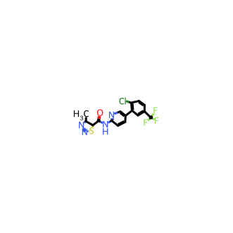 CC1N=NSC1C(=O)Nc1ccc(-c2cc(C(F)(F)F)ccc2Cl)cn1